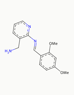 COc1ccc(C=Nc2ncccc2CN)c(OC)c1